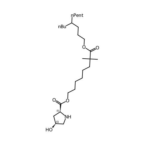 CCCCCC(CCCC)CCCOC(=O)C(C)(C)CCCCCCOC(=O)[C@@H]1C[C@H](O)CN1